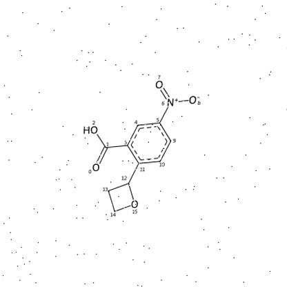 O=C(O)c1cc([N+](=O)[O-])ccc1C1CCO1